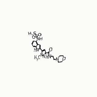 Cn1nc(C(=O)NCCN2CCOCC2)cc1-c1cc2c(NS(C)(=O)=O)cccc2[nH]1